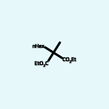 CCCCCCC(C)(C(=O)OCC)C(=O)OCC